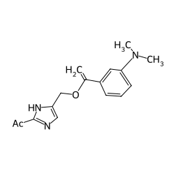 C=C(OCc1cnc(C(C)=O)[nH]1)c1cccc(N(C)C)c1